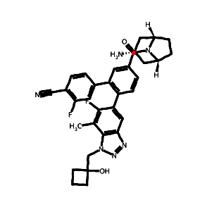 Cc1c(F)c(-c2ccc(C(=O)N3[C@@H]4CC[C@H]3C[C@@H](N)C4)cc2-c2ccc(C#N)c(F)c2)cc2nnn(CC3(O)CCC3)c12